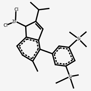 Cc1ccc2c(c1-c1cc([Si](C)(C)C)cc([Si](C)(C)C)c1)C=C(C(C)C)[CH]2[Zr]([Cl])[Cl]